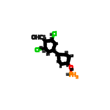 O=Cc1c(Cl)cc(-c2ccc(OP)cc2)cc1Cl